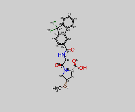 CS[C@@H]1C[C@@H](C(=O)O)N(C(=O)CNC(=O)c2ccc3c(c2)-c2ccccc2C3(F)F)C1